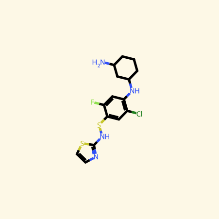 NC1CCCC(Nc2cc(F)c(SNc3nccs3)cc2Cl)C1